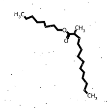 CCCCCCCCCCCC(C)C(=O)OCCCCCCCC